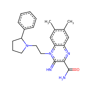 Cc1cc2nc(C(N)=O)c(=N)n(CCN3CCCC3c3ccccc3)c2cc1C